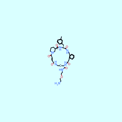 Cc1cccc(C[C@@H]2NC(=O)[C@@H]3CCCN(C3)C(=O)/C=C/C(=O)NCC[C@@H](C(=O)NCCOCCN)NC(=O)Cc3ccccc3CNC2=O)c1